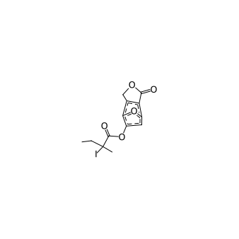 CCC(C)(I)C(=O)Oc1cc2oc1c1c2C(=O)OC1